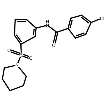 O=C(Nc1cccc(S(=O)(=O)N2CCCCC2)c1)c1ccc(Cl)cc1